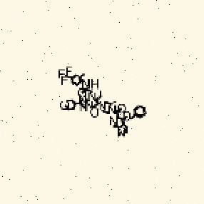 CCc1c(N2CCN(C(=O)c3ncc4c(ccn4C)c3OCc3ccccc3)[C@H](C)C2)c(=O)n2nc(C3=CCOCC3)nc2n1CC(=O)Nc1ccc(C(F)(F)F)cc1C